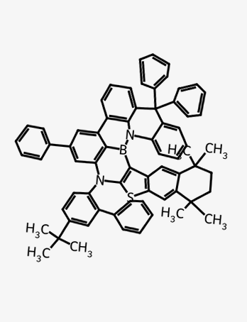 CC(C)(C)c1ccc(N2c3cc(-c4ccccc4)cc4c3B(c3c2sc2cc5c(cc32)C(C)(C)CCC5(C)C)N2c3ccccc3C(c3ccccc3)(c3ccccc3)c3cccc-4c32)c(-c2ccccc2)c1